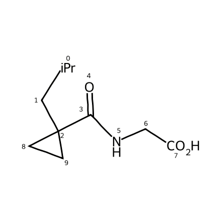 CC(C)CC1(C(=O)NCC(=O)O)CC1